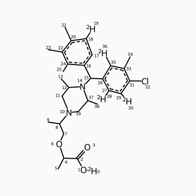 [2H]OC(=O)C(C)OCC(C)N1CC(C)N(C(c2cc([2H])c(C)c(C)c2C)c2c([2H])c([2H])c(Cl)c(C)c2[2H])C(C)C1